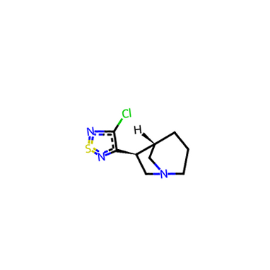 Clc1nsnc1[C@@H]1CN2CCC[C@@H]1C2